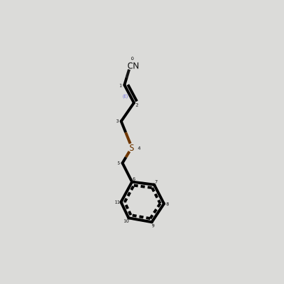 N#C/C=C/CSCc1ccccc1